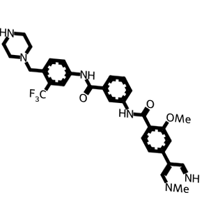 CN/C=C(\C=N)c1ccc(C(=O)Nc2cccc(C(=O)Nc3ccc(CN4CCNCC4)c(C(F)(F)F)c3)c2)c(OC)c1